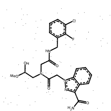 COC(O)CN(CC(=O)NCc1cccc(Cl)c1F)C(=O)Cn1nc(C(N)=O)c2ccccc21